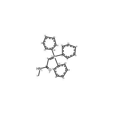 CNC(=O)C=P(c1ccccc1)(c1ccccc1)c1ccccc1